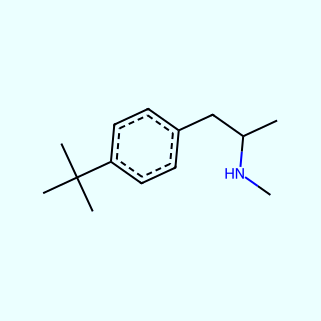 CNC(C)Cc1ccc(C(C)(C)C)cc1